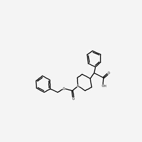 O=C(O)C(c1ccccc1)C1CCN(C(=O)OCc2ccccc2)CC1